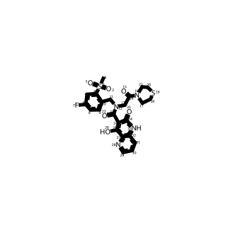 CS(=O)(=O)c1cc(F)ccc1CN(CC(=O)N1CCSCC1)C(=O)c1c(O)c2ncccc2[nH]c1=O